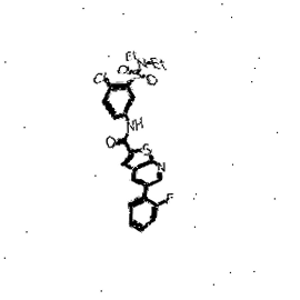 CCN(CC)S(=O)(=O)c1cc(NC(=O)c2cc3cc(-c4ccccc4F)cnc3s2)ccc1Cl